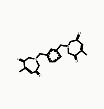 CC1=CC(=O)CN(Cc2cccc(CN3CC(=O)C=C(C)C(=O)C3)c2)CC1=O